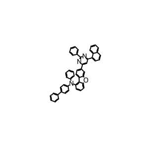 c1ccc(-c2ccc(N(c3ccccc3)c3cccc4oc5cc(-c6cc(-c7cccc8ccccc78)nc(-c7ccccc7)n6)ccc5c34)cc2)cc1